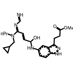 CCCN(CC1CC1)C(/C=C/C(O)Nc1ccc2[nH]nc(CCC(=O)OC)c2c1)=N/C=N